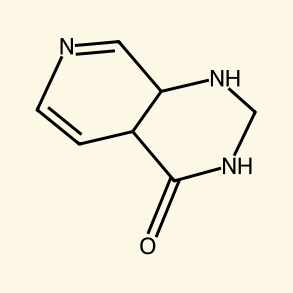 O=C1NCNC2C=NC=CC12